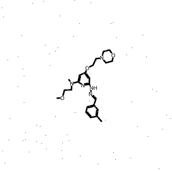 COCCN(C)c1cc(OCCN2CCOCC2)cc(NN=Cc2cccc(C)c2)n1